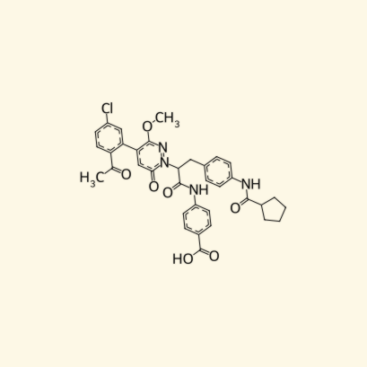 COc1nn(C(Cc2ccc(NC(=O)C3CCCC3)cc2)C(=O)Nc2ccc(C(=O)O)cc2)c(=O)cc1-c1cc(Cl)ccc1C(C)=O